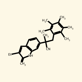 C=C1Nc2cc(C(C)(C#N)Cc3c(C)c(C)c(C)c(C)c3C)ccc2C=C1CC